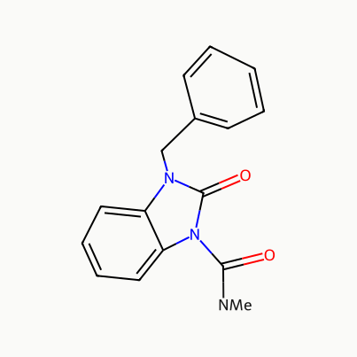 CNC(=O)n1c(=O)n(Cc2ccccc2)c2ccccc21